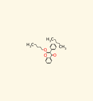 CCCCC.CCCCCOc1oc2ccccc2c(=O)c1-c1ccccc1